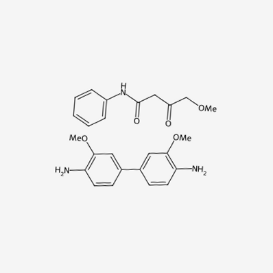 COCC(=O)CC(=O)Nc1ccccc1.COc1cc(-c2ccc(N)c(OC)c2)ccc1N